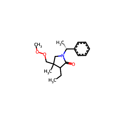 CCC1C(=O)N([C@H](C)c2ccccc2)CC1(C)COOC